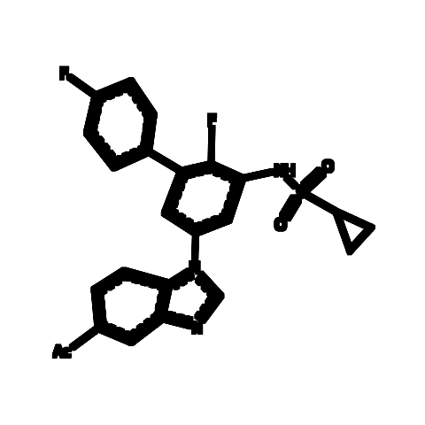 CC(=O)c1ccc2c(c1)ncn2-c1cc(NS(=O)(=O)C2CC2)c(F)c(-c2ccc(F)cc2)c1